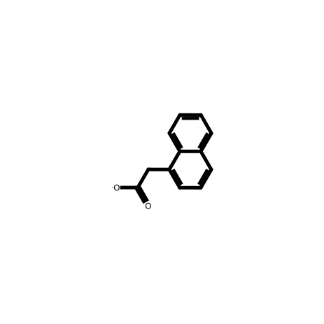 [O]C(=O)Cc1cccc2ccccc12